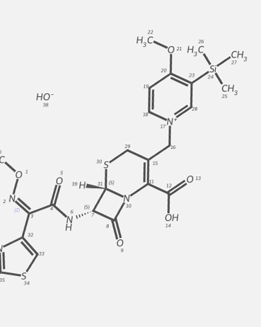 CO/N=C(\C(=O)N[C@H]1C(=O)N2C(C(=O)O)=C(C[n+]3ccc(OC)c([Si](C)(C)C)c3)CS[C@@H]12)c1csc(N)n1.[OH-]